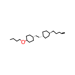 C=CCCC[C@H]1CC[C@H](CC[C@H]2CC[C@H](OCCCC)CC2)CC1